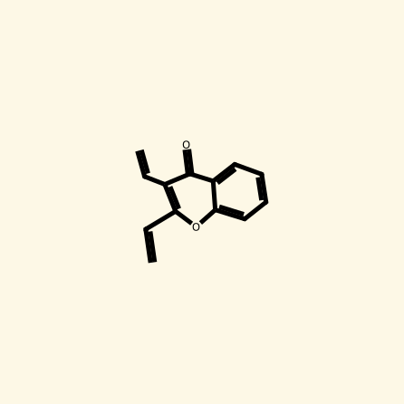 C=Cc1oc2ccccc2c(=O)c1C=C